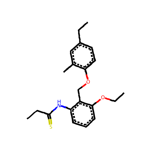 CCOc1cccc(NC(=S)CC)c1COc1ccc(CC)cc1C